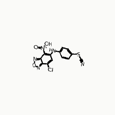 N#CSc1ccc(Nc2cc(Cl)c3nonc3c2[N+](=O)O)cc1